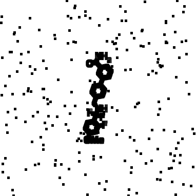 COc1ccc(C(F)(F)NCc2ccc(-c3cccc(C(N)=O)c3)cc2)c(F)c1